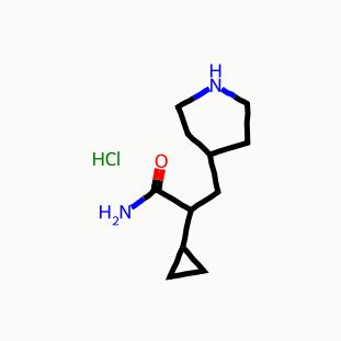 Cl.NC(=O)C(CC1CCNCC1)C1CC1